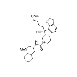 CNCC(CC1CCCCC1)NC(=O)N1CCC[C@@H]([C@@](O)(CCCCOC)c2cccc3c2OCC3)C1